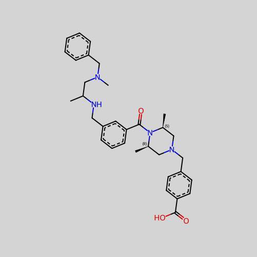 CC(CN(C)Cc1ccccc1)NCc1cccc(C(=O)N2[C@H](C)CN(Cc3ccc(C(=O)O)cc3)C[C@@H]2C)c1